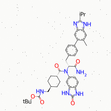 Cc1cc2[nH]c(C(C)C)nc2cc1-c1ccc(C[C@H](C(N)=O)N(c2ccc3[nH]c(=O)[nH]c3c2)C(=O)[C@H]2CC[C@H](CNC(=O)OC(C)(C)C)CC2)cc1